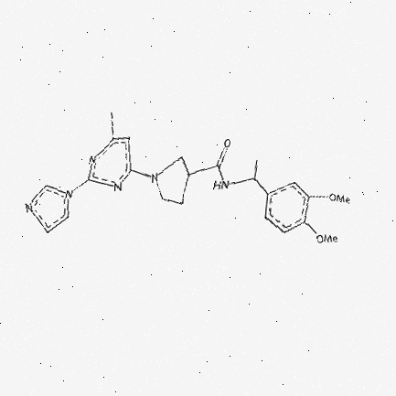 COc1ccc(C(C)NC(=O)C2CCN(c3cc(C)nc(-n4ccnc4)n3)C2)cc1OC